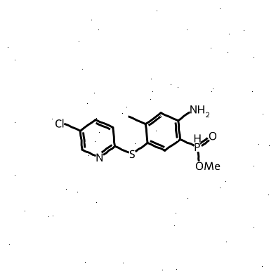 CO[PH](=O)c1cc(Sc2ccc(Cl)cn2)c(C)cc1N